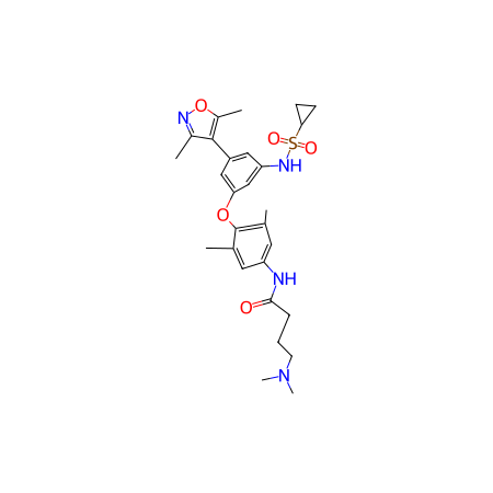 Cc1cc(NC(=O)CCCN(C)C)cc(C)c1Oc1cc(NS(=O)(=O)C2CC2)cc(-c2c(C)noc2C)c1